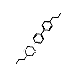 CCCc1ccc(-c2ccc([C@H]3CO[C@H](CCC)CO3)cc2)cc1